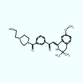 COc1ccc2c(c1)/C(=C/C(=O)c1cccc(C(=O)N3CCN(CCO)CC3)c1)NC(C)(C)C2